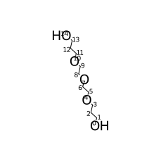 OCCCOCCOCCOCCCO